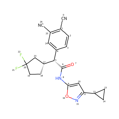 N#Cc1ccc([C@H](C(=O)Nc2cc(C3CC3)no2)[C@@H]2CCC(F)(F)C2)cc1C#N